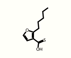 CCCCCc1occc1C(O)=S